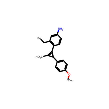 CCCCCCCCCCOc1ccc(C2C(C(=O)O)=C2c2ccc(N)cc2CC(C)CC)cc1